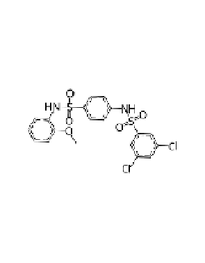 COc1ccccc1NS(=O)(=O)c1ccc(NS(=O)(=O)c2cc(Cl)cc(Cl)c2)cc1